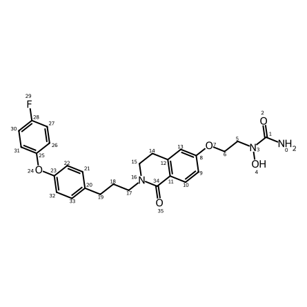 NC(=O)N(O)CCOc1ccc2c(c1)CCN(CCCc1ccc(Oc3ccc(F)cc3)cc1)C2=O